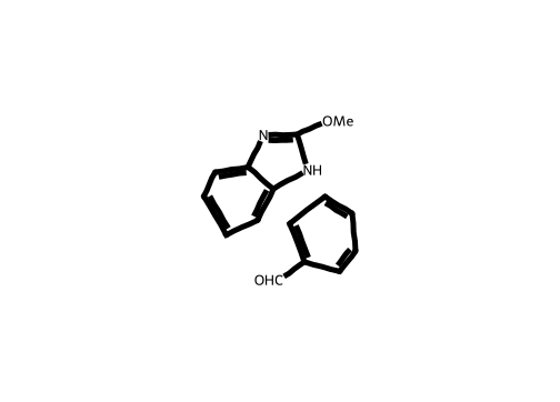 COc1nc2ccccc2[nH]1.O=Cc1ccccc1